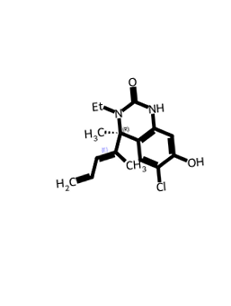 C=C/C=C(\C)[C@]1(C)c2cc(Cl)c(O)cc2NC(=O)N1CC